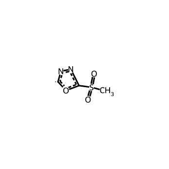 CS(=O)(=O)c1nn[c]o1